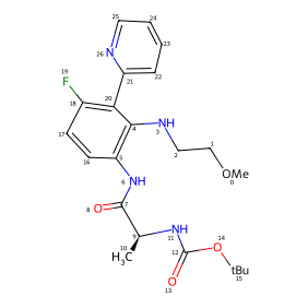 COCCNc1c(NC(=O)[C@H](C)NC(=O)OC(C)(C)C)ccc(F)c1-c1ccccn1